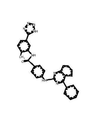 Cc1ccc(-c2nnn[nH]2)cc1NC(=O)c1ccc(Nc2nc(-c3ccccc3)c3ccccc3n2)cc1